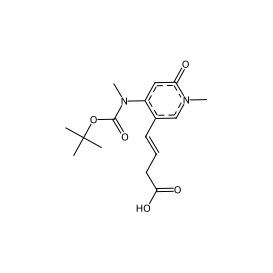 CN(C(=O)OC(C)(C)C)c1cc(=O)n(C)cc1/C=C/CC(=O)O